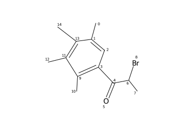 Cc1cc(C(=O)C(C)Br)c(C)c(C)c1C